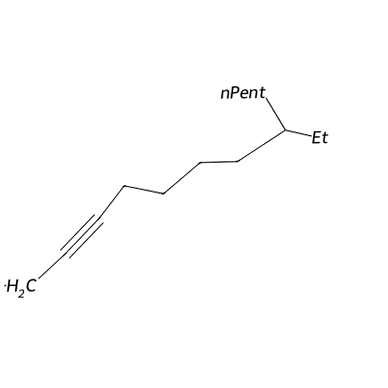 [CH2]C#CCCCCC(CC)CCCC[CH2]